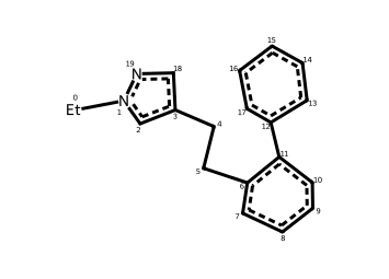 CCn1cc(CCc2ccccc2-c2ccccc2)cn1